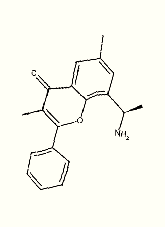 Cc1cc([C@@H](C)N)c2oc(-c3ccccc3)c(C)c(=O)c2c1